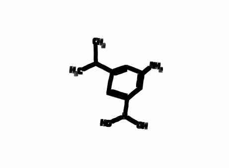 CC(C)c1cc(N)cc(B(O)O)c1